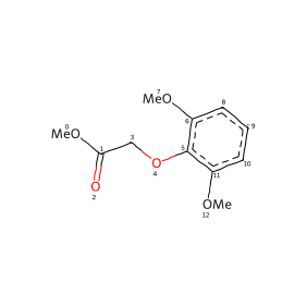 COC(=O)COc1c(OC)c[c]cc1OC